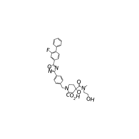 CN(CCO)C(=O)C1(OC(=O)O)CCN(Cc2ccc(-c3noc(-c4ccc(-c5ccccc5)c(F)c4)n3)cc2)CC1